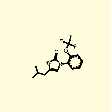 CC(C)CC1=CN(c2ccccc2OC(F)(F)F)C(=O)[N]1